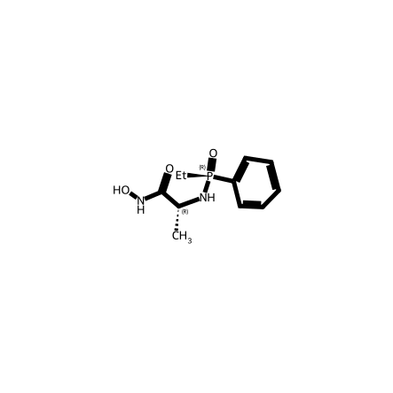 CC[P@](=O)(N[C@H](C)C(=O)NO)c1ccccc1